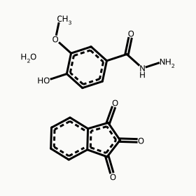 COc1cc(C(=O)NN)ccc1O.O.O=c1c(=O)c2ccccc2c1=O